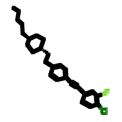 CCCCC[C@H]1CC[C@H](CCc2ccc(C#Cc3ccc(Cl)c(F)c3)cc2)CC1